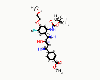 COCCOc1cc(NC(=O)OC(C)(C)C)c(C(=N)/C(O)=C/C(=N)c2ccc(C(=O)OC)cc2)cc1F